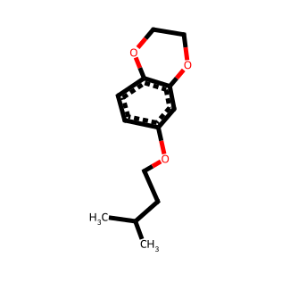 CC(C)CCOc1ccc2c(c1)OCCO2